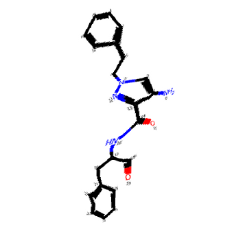 Nc1cn(CCc2ccccc2)nc1C(=O)NC(C=O)Cc1ccccc1